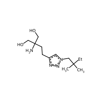 CCC(C)(C)Cn1cc(CCC(N)(CO)CO)nn1